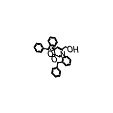 O=C1C=C(CO)N=CC1(OC(c1ccccc1)c1ccccc1)OC(c1ccccc1)c1ccccc1